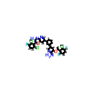 CC(Oc1cc(-c2cc[c]c(-c3cnc(N)c(OC(C)c4c(Cl)ccc(F)c4Cl)c3)c2)cnc1N)c1c(F)ccc(F)c1Cl